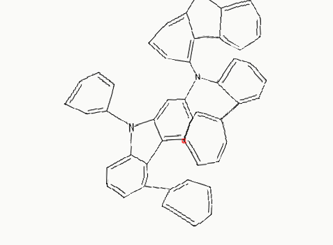 c1ccc(-c2ccccc2N(c2ccc3c4c(-c5ccccc5)cccc4n(-c4ccccc4)c3c2)c2cccc3sc4ccccc4c23)cc1